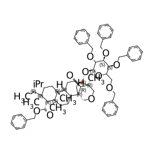 CC(C)[C@@H](C)[C@@]1(C)CC[C@]2(C)[C@H]3CC[C@@H]4[C@@]5(COC[C@]4(C)[C@@H](O[C@@H]4OC(COCc6ccccc6)[C@H](OCc6ccccc6)[C@H](OCc6ccccc6)C4OCc4ccccc4)C(=O)C5)C3=CC[C@@]2(C)[C@@H]1C(=O)OCc1ccccc1